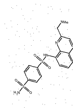 CNCc1ccc2cccc(NS(=O)(=O)c3ccc(S(N)(=O)=O)cc3)c2n1